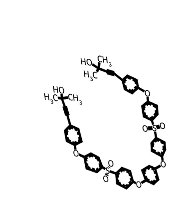 CC(C)(O)C#Cc1ccc(Oc2ccc(S(=O)(=O)c3ccc(Oc4ccc(Oc5ccc(S(=O)(=O)c6ccc(Oc7ccc(C#CC(C)(C)O)cc7)cc6)cc5)cc4)cc3)cc2)cc1